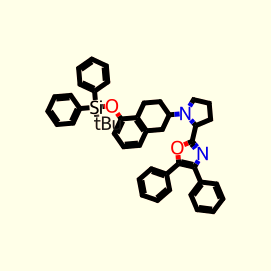 CC(C)(C)[Si](Oc1cccc2c1CCC(N1CCCC1c1nc(-c3ccccc3)c(-c3ccccc3)o1)C2)(c1ccccc1)c1ccccc1